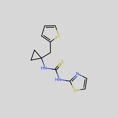 S=C(Nc1nccs1)NC1(Cc2cccs2)CC1